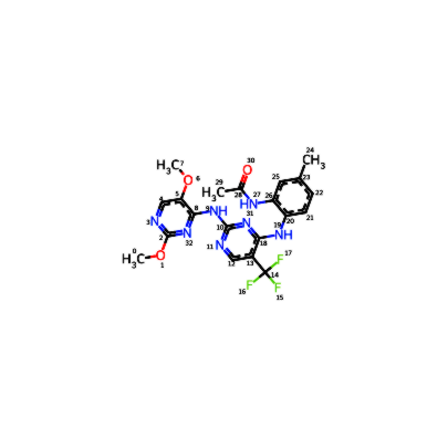 COc1ncc(OC)c(Nc2ncc(C(F)(F)F)c(Nc3ccc(C)cc3NC(C)=O)n2)n1